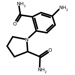 NC(=O)c1cc(N)ccc1N1CCCC1C(N)=O